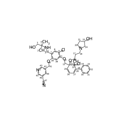 CC(C)(CO)NCc1cc(Cl)c(OCC2(OCCCN3CCC(O)C3)C=CC=C(c3ccccc3)[C@@]2(C)Cl)cc1OCc1cncc(C#N)c1